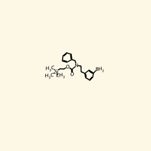 Bc1cccc(CCN(Cc2ccccc2)C(=O)OCC[Si](C)(C)C)c1